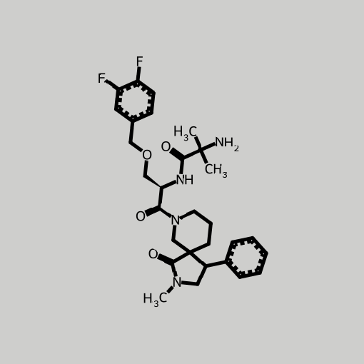 CN1CC(c2ccccc2)C2(CCCN(C(=O)[C@@H](COCc3ccc(F)c(F)c3)NC(=O)C(C)(C)N)C2)C1=O